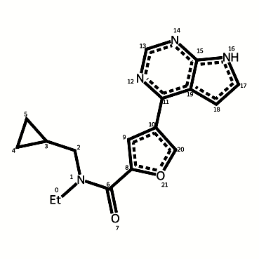 CCN(CC1CC1)C(=O)c1cc(-c2ncnc3[nH]ccc23)co1